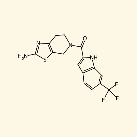 Nc1nc2c(s1)CN(C(=O)c1cc3ccc(C(F)(F)F)cc3[nH]1)CC2